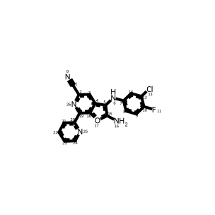 N#Cc1cc2c(Nc3ccc(F)c(Cl)c3)c(N)oc2c(-c2ccccn2)n1